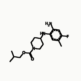 Cc1cc(NC2CCN(C(=O)OCC(C)C)CC2)c(N)cc1F